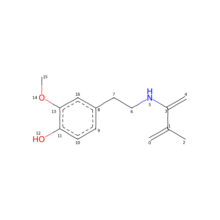 C=C(C)C(=C)NCCc1ccc(O)c(OC)c1